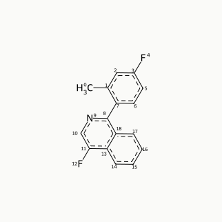 Cc1cc(F)ccc1-c1ncc(F)c2ccccc12